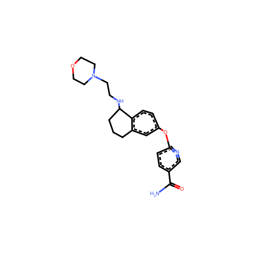 NC(=O)c1ccc(Oc2ccc3c(c2)CCCC3NCCN2CCOCC2)nc1